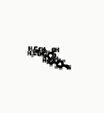 CC(C)(C)OC(=O)N[C@@H](CC(=O)O)c1ncc(-c2ccc(C#N)cc2)[nH]1